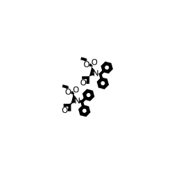 CCOC(=O)[C@@H]1[C@H](C2COC2)N1C(c1ccccc1)c1ccccc1.CCOC(=O)[C@H]1[C@@H](C2COC2)[N@@]1C(c1ccccc1)c1ccccc1